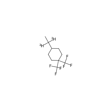 [2H]C([2H])(C)C1CCC(C(F)(F)F)(C(F)(F)F)CC1